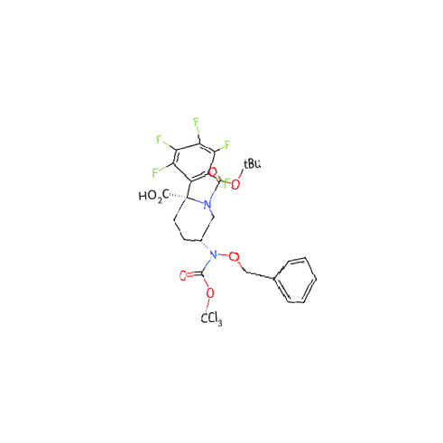 CC(C)(C)OC(=O)N1C[C@H](N(OCc2ccccc2)C(=O)OC(Cl)(Cl)Cl)CC[C@@]1(C(=O)O)c1c(F)c(F)c(F)c(F)c1F